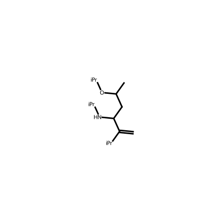 C=C(C(C)C)C(CC(C)OC(C)C)NC(C)C